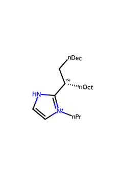 CCCCCCCCCCC[C@H](CCCCCCCC)c1[nH]cc[n+]1CCC